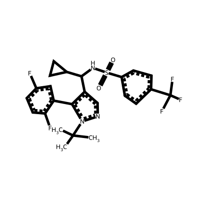 CC(C)(C)n1ncc(C(NS(=O)(=O)c2ccc(C(F)(F)F)cc2)C2CC2)c1-c1cc(F)ccc1F